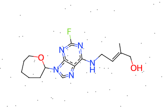 C/C(=C\CNc1nc(F)nc2c1ncn2C1CCCCCO1)CO